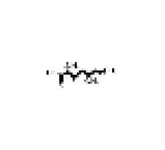 CCCC(N)CC[C@H](N)C(=O)O